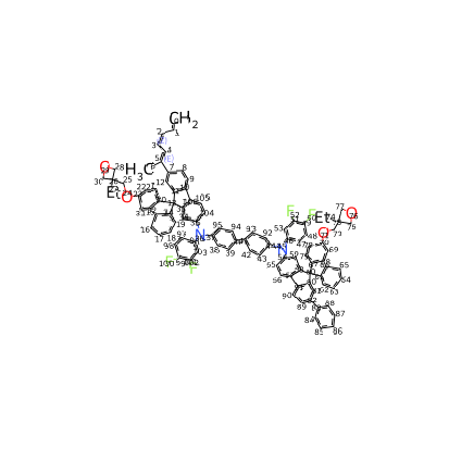 C=C/C=C\C=C(/C)c1ccc2c(c1)C(c1ccccc1)(c1ccc(OCC3(CC)COC3)cc1)c1cc(N(c3ccc(-c4ccc(N(c5ccc(F)c(F)c5)c5ccc6c(c5)C(c5ccccc5)(c5ccc(OCC7(CC)COC7)cc5)c5cc(-c7ccccc7)ccc5-6)cc4)cc3)c3ccc(F)c(F)c3)ccc1-2